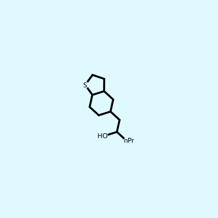 CCCC(O)CC1CCC2SCCC2C1